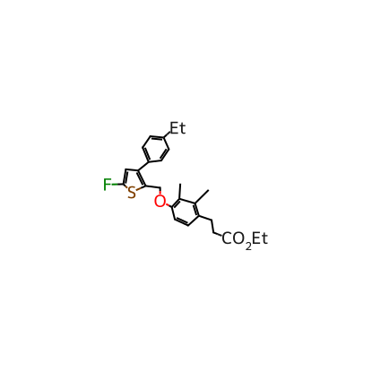 CCOC(=O)CCc1ccc(OCc2sc(F)cc2-c2ccc(CC)cc2)c(C)c1C